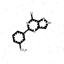 O=C(O)c1cccc(-c2nc(Cl)c3n[nH]cc3n2)c1